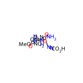 COC(=O)c1cc(OC)c(NCC=CCNc2c(OCC#CCN3CCN(C(=O)O)CC3)cc(C(N)=O)cc2[N+](=O)[O-])c([N+](=O)[O-])c1